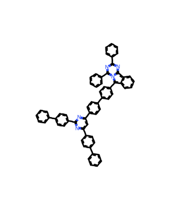 c1ccc(-c2ccc(-c3cc(-c4ccc(-c5ccc(-c6c7ccccc7c7nc(-c8ccccc8)nc(-c8ccccc8)n67)cc5)cc4)nc(-c4ccc(-c5ccccc5)cc4)n3)cc2)cc1